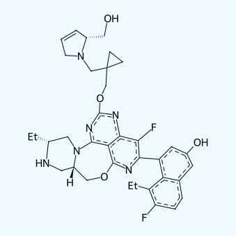 CCc1c(F)ccc2cc(O)cc(-c3nc4c5c(nc(OCC6(CN7CC=C[C@@H]7CO)CC6)nc5c3F)N3C[C@@H](CC)NC[C@H]3CO4)c12